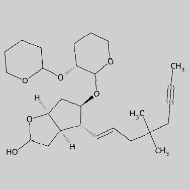 CC#CCC(C)(C)C/C=C/[C@@H]1[C@H]2CC(O)O[C@H]2C[C@H]1OC1OCCC[C@H]1OC1CCCCO1